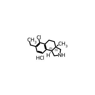 CCc1ccc2c(c1Cl)CC[C@]1(C)CNC[C@@H]21.Cl